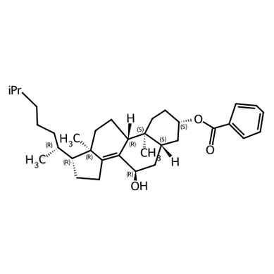 CC(C)CCC[C@@H](C)[C@H]1CCC2=C3[C@H](O)C[C@H]4C[C@@H](OC(=O)c5ccccc5)CC[C@]4(C)[C@H]3CC[C@@]21C